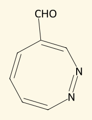 O=CC1=CN=NC=CC=C1